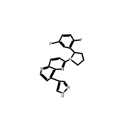 Fc1ccc(F)c(C2CCCN2c2ccc3nccc(-c4cn[nH]c4)c3n2)c1